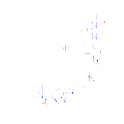 O=Cc1cc(N2CCC(=O)NC2=O)c2ccn(C3CCN(CC4CCN(c5ccc(C(=O)NC6CCCCC6)nn5)CC4)CC3)c2c1